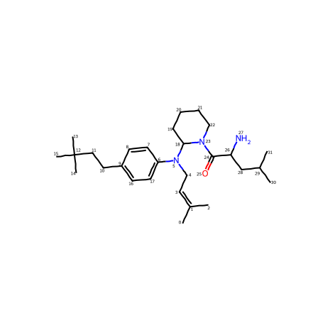 CC(C)=CCN(c1ccc(CCC(C)(C)C)cc1)C1CCCCN1C(=O)C(N)CC(C)C